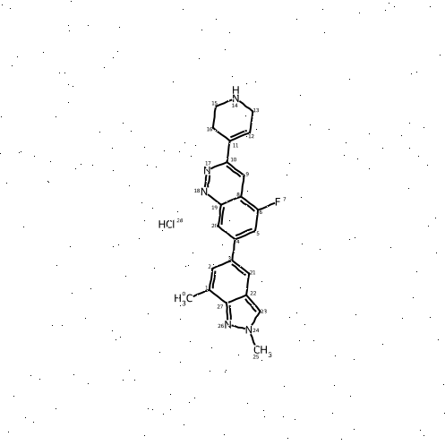 Cc1cc(-c2cc(F)c3cc(C4=CCNCC4)nnc3c2)cc2cn(C)nc12.Cl